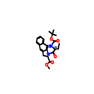 CC[C@H](NC(=O)OC(C)(C)C)C(=O)N1c2cc3ccccc3cc2CC1C(=O)OC